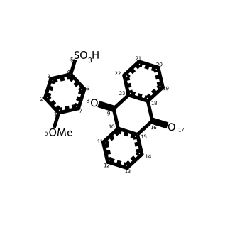 COc1ccc(S(=O)(=O)O)cc1.O=C1c2ccccc2C(=O)c2ccccc21